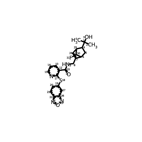 CC(C)(O)C1CC2C(CNC(=O)c3cccnc3Sc3ccc4nonc4c3)=CC1C2F